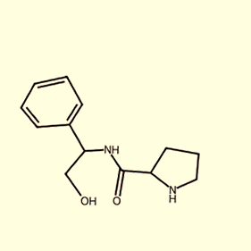 O=C(NC(CO)c1ccccc1)C1CCCN1